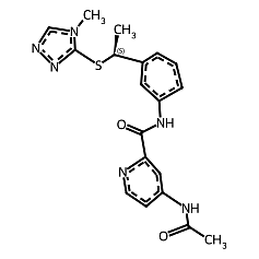 CC(=O)Nc1ccnc(C(=O)Nc2cccc([C@H](C)Sc3nncn3C)c2)c1